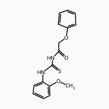 COc1ccccc1NC(=S)NC(=O)COc1ccccc1